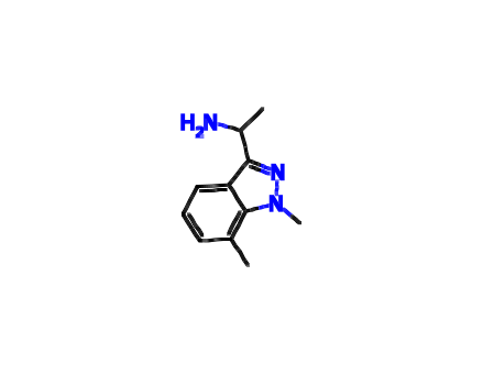 Cc1cccc2c(C(C)N)nn(C)c12